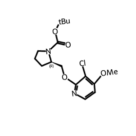 COc1ccnc(OC[C@H]2CCCN2C(=O)OC(C)(C)C)c1Cl